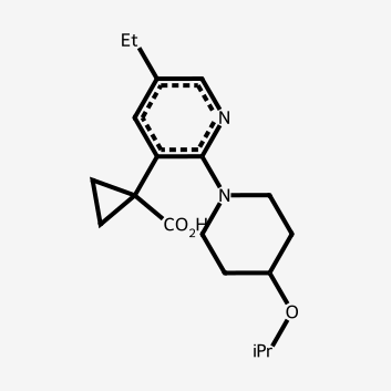 CCc1cnc(N2CCC(OC(C)C)CC2)c(C2(C(=O)O)CC2)c1